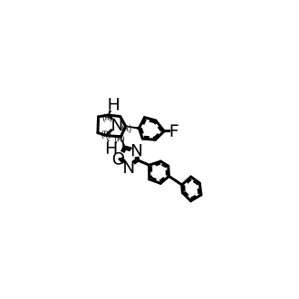 CN1[C@@H]2CC[C@@H]1[C@H](c1nc(-c3ccc(-c4ccccc4)cc3)no1)[C@H](c1ccc(F)cc1)C2